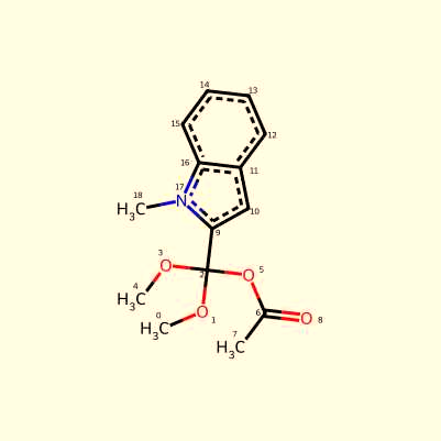 COC(OC)(OC(C)=O)c1cc2ccccc2n1C